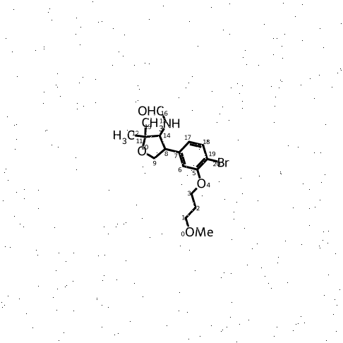 COCCCOc1cc(C2COC(C)(C)C2NC=O)ccc1Br